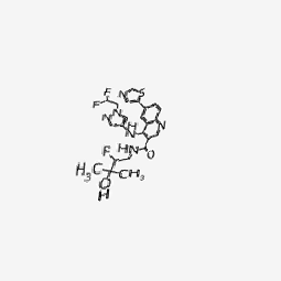 CC(C)(O)C(F)CNC(=O)c1cnc2ccc(-c3cncs3)cc2c1Nc1cnn(CC(F)F)c1